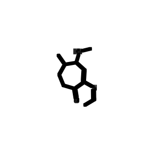 C/C=N\C1=CC(NC)C(C)CCC1=O